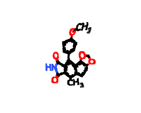 COc1ccc(-c2c3c(c(C)c4ccc5c(c24)OCO5)C(=O)NC3=O)cc1